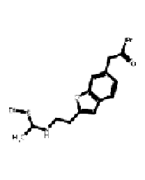 CCSC(C)NCCc1cc2ccc(CC(=O)C(C)C)cc2o1